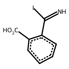 N=C(I)c1ccccc1C(=O)O